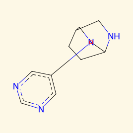 c1ncc(N2CC3CCC(C2)NC3)cn1